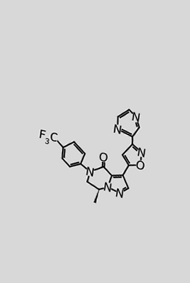 C[C@H]1CN(c2ccc(C(F)(F)F)cc2)C(=O)c2c(-c3cc(-c4cnccn4)no3)cnn21